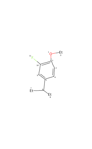 CCOc1ccc(C(CC)CC)cc1F